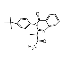 CC(C(N)=O)c1nc2ccccc2c(=O)n1-c1ccc(C(C)(C)C)cc1